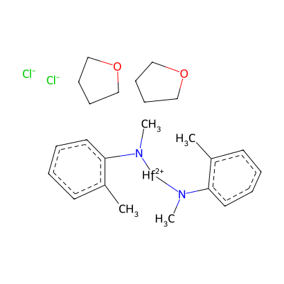 C1CCOC1.C1CCOC1.Cc1ccccc1[N](C)[Hf+2][N](C)c1ccccc1C.[Cl-].[Cl-]